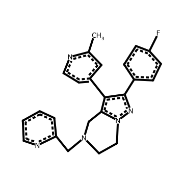 Cc1cc(-c2c(-c3ccc(F)cc3)nn3c2CN(Cc2ccccn2)CC3)ccn1